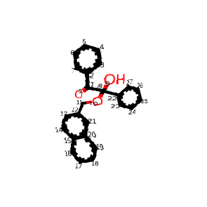 O=C(c1ccccc1)C(O)(OCc1ccc2ccccc2c1)c1ccccc1